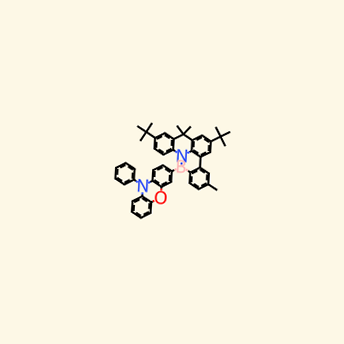 Cc1ccc2c(c1)-c1cc(C(C)(C)C)cc3c1N(B2c1ccc2c(c1)Oc1ccccc1N2c1ccccc1)c1ccc(C(C)(C)C)cc1C3(C)C